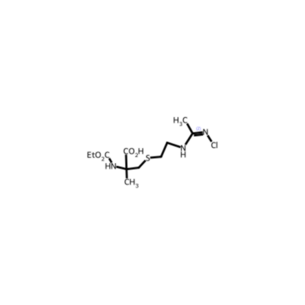 CCOC(=O)NC(C)(CSCCN/C(C)=N\Cl)C(=O)O